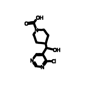 O=C(O)N1CCC(C(O)c2cncnc2Cl)CC1